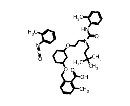 Cc1ccccc1N=C=O.Cc1ccccc1NC(=O)N(CCOC1CCCC(OCc2cccc(C)c2C(=O)O)C1)CCC(C)(C)C